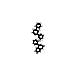 c1cc(Nc2ccccc2-c2cccc3ccccc23)cc(-c2cccc3c2sc2ccccc23)c1